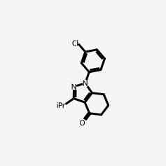 CC(C)c1nn(-c2cccc(Cl)c2)c2c1C(=O)CCC2